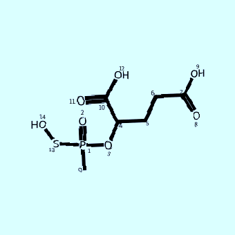 CP(=O)(OC(CCC(=O)O)C(=O)O)SO